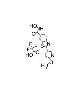 COc1ccc(-c2nc3ccc(C(=O)NO)cc3s2)cn1.O=C(O)C(F)(F)F